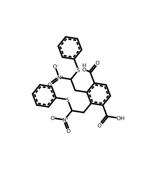 O=C(O)c1ccc(C(=O)O)c(CC(Sc2ccccc2)[N+](=O)[O-])c1CC(Sc1ccccc1)[N+](=O)[O-]